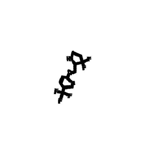 FC(F)(F)c1ccc(OCC2NCCC2(F)F)nc1